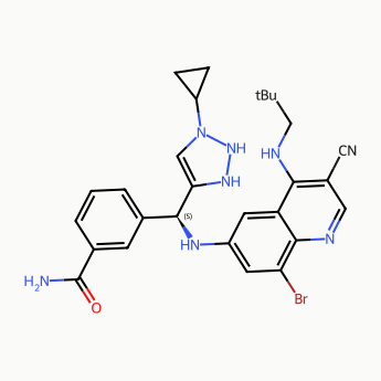 CC(C)(C)CNc1c(C#N)cnc2c(Br)cc(N[C@H](C3=CN(C4CC4)NN3)c3cccc(C(N)=O)c3)cc12